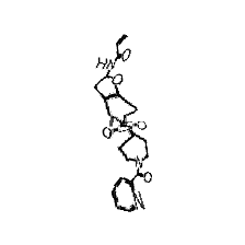 C=CC(=O)NC1CC2CN(S(=O)(=O)C3CCN(C(=O)c4ccccn4)CC3)CC2O1